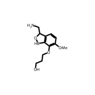 COc1ccc2c(c1OCCCO)BOC2CN